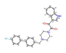 O=C(C(=O)N1CCN(Cc2ccc(-c3ccc(F)cc3)cc2)CC1)c1c[nH]c2ccccc12